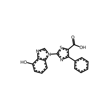 O=C(O)c1sc(-n2cnc3c(O)cccc32)nc1-c1ccccc1